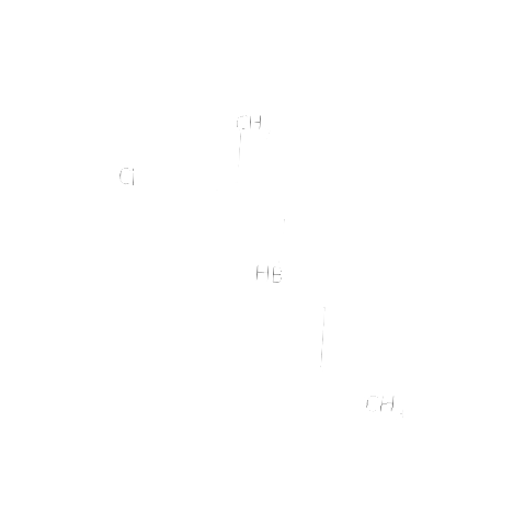 CCCBCC(C)CCl